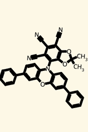 CC1(C)Oc2c(C#N)c(C#N)c(C#N)c(N3c4ccc(-c5ccccc5)cc4Oc4cc(-c5ccccc5)ccc43)c2O1